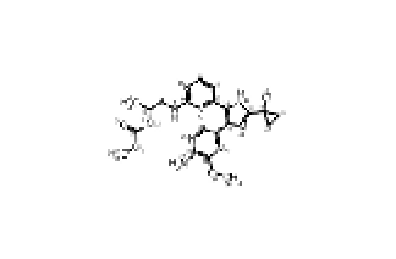 COC(=O)NC(C)CNc1nccc(-c2[nH]c(C3(Cl)CC3)nc2-c2cnc(N)c(OC)n2)n1